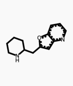 c1cnc2cc(CC3CCCCN3)oc2c1